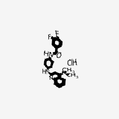 CN(C)c1cc(NC2CCC(NC(=O)c3ccc(F)c(F)c3)CC2)nc2ccccc12.Cl